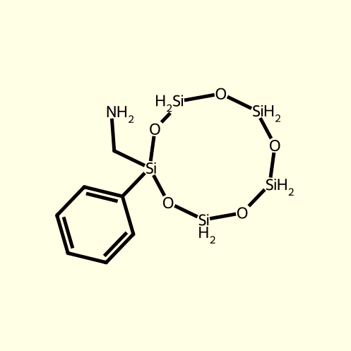 NC[Si]1(c2ccccc2)O[SiH2]O[SiH2]O[SiH2]O[SiH2]O1